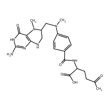 CC(=O)CCC(NC(=O)c1ccc(N(C)CC2CNc3nc(N)[nH]c(=O)c3N2C)cc1)C(=O)O